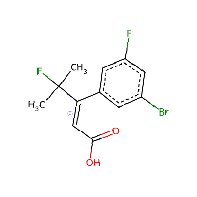 CC(C)(F)/C(=C/C(=O)O)c1cc(F)cc(Br)c1